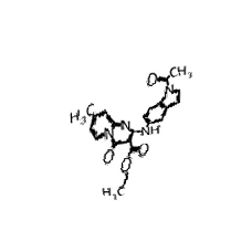 CCOC(=O)c1c(Nc2ccc3c(ccn3C(C)=O)c2)nc2cc(C)ccn2c1=O